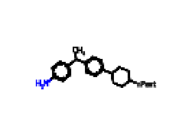 CCCCCC1CCC(c2ccc(C(C)c3ccc(N)cc3)cc2)CC1